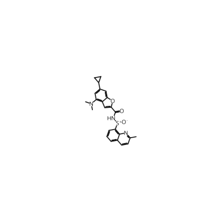 Cc1ccc2cccc([S+]([O-])NC(=O)c3cc4c(N(C)C)cc(C5CC5)cc4o3)c2n1